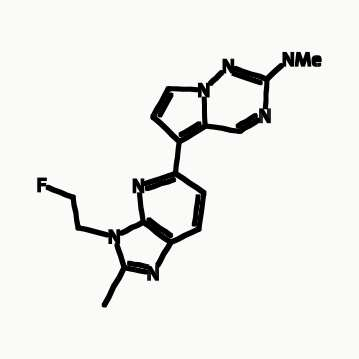 CNc1ncc2c(-c3ccc4nc(C)n(CCF)c4n3)ccn2n1